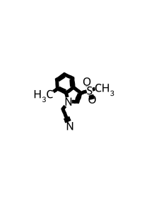 Cc1cccc2c(S(C)(=O)=O)cn(CC#N)c12